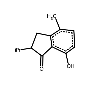 Cc1ccc(O)c2c1CC(C(C)C)C2=O